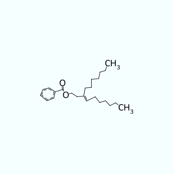 CCCCCC/C=C(\CCCCCCC)CCOC(=O)c1ccccc1